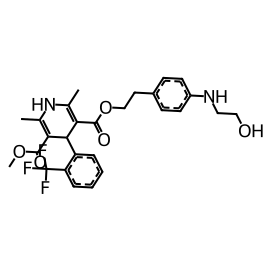 COC(=O)C1=C(C)NC(C)=C(C(=O)OCCc2ccc(NCCO)cc2)C1c1ccccc1C(F)(F)F